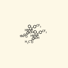 C=CC(=O)N1C[C@H](O)[C@H](Nc2nnc(-c3ccc(C(F)(F)F)cc3)c3ccccc23)C1.CC(C)(C)OC(=O)N1C[C@H](O)[C@H](Nc2nnc(-c3ccc(C(F)(F)F)cc3)c3ccccc23)C1